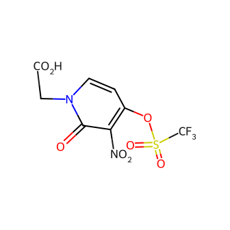 O=C(O)Cn1ccc(OS(=O)(=O)C(F)(F)F)c([N+](=O)[O-])c1=O